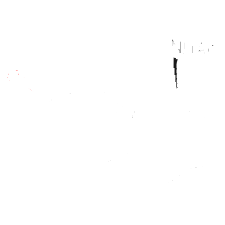 CC(=O)N[C@H]1CCCC2=CCC(=O)C=C21